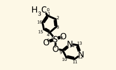 Cc1ccc(S(=O)(=O)Oc2ccncn2)cc1